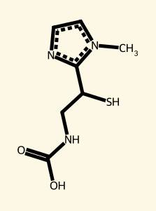 Cn1ccnc1C(S)CNC(=O)O